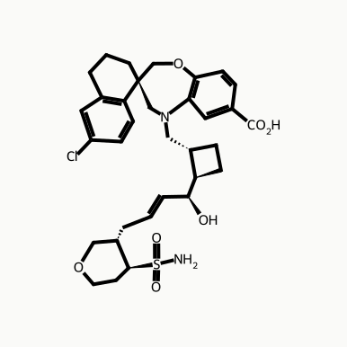 NS(=O)(=O)[C@H]1CCOC[C@@H]1C/C=C/[C@H](O)[C@@H]1CC[C@H]1CN1C[C@@]2(CCCc3cc(Cl)ccc32)COc2ccc(C(=O)O)cc21